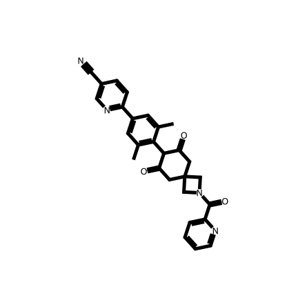 Cc1cc(-c2ccc(C#N)cn2)cc(C)c1C1C(=O)CC2(CC1=O)CN(C(=O)c1ccccn1)C2